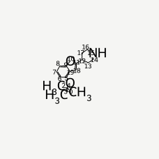 CC(C)(C)Oc1cccc2oc(C3CCNCC3)cc12